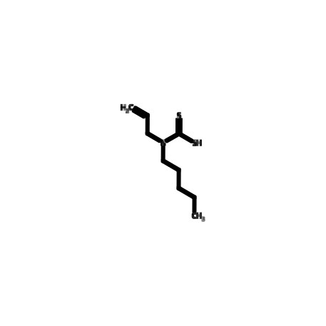 C=CCN(CCCCC)C(=S)S